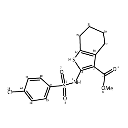 COC(=O)c1c(NS(=O)(=O)c2ccc(Cl)cc2)sc2c1CCCC2